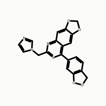 c1cn(Cc2nc(-c3ccc4c(c3)OOC4)c3cc4c(cc3n2)OCO4)cn1